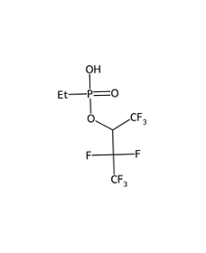 CCP(=O)(O)OC(C(F)(F)F)C(F)(F)C(F)(F)F